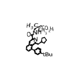 CC(C)(CNC(=O)c1cc2cccc(-c3ccc(C(C)(C)C)cc3)c2c(CC2CCCC2)n1)CC(=O)O